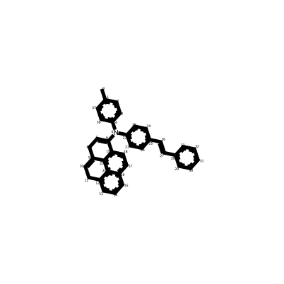 Cc1ccc(N(C2=CCC3=CCc4cccc5ccc2c3c45)c2ccc(C=Cc3ccccc3)cc2)cc1